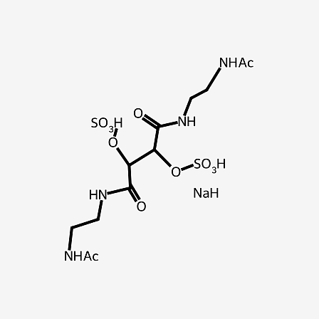 CC(=O)NCCNC(=O)C(OS(=O)(=O)O)C(OS(=O)(=O)O)C(=O)NCCNC(C)=O.[NaH]